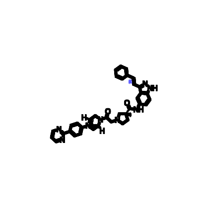 O=C(Nc1ccc2[nH]nc(/C=C/c3ccccc3)c2c1)[C@@H]1CCN(CC(=O)N2C[C@@H]3C[C@H]2CN3c2ccc(-c3ncccn3)cc2)C1